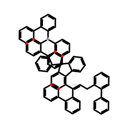 C(/Cc1ccccc1-c1ccccc1)=C(/c1ccccc1-c1ccccc1)c1cccc2c1-c1ccccc1C21c2ccccc2-c2c(N(c3ccccc3-c3ccccc3)c3ccccc3-c3ccccc3)cccc21